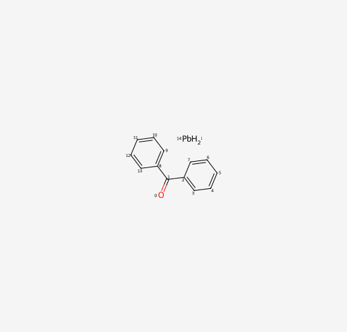 O=C(c1ccccc1)c1ccccc1.[PbH2]